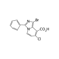 O=C(O)c1c(Cl)ccn2c(-c3ccccc3)nc(Br)c12